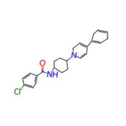 O=C(NC1CCC(N2C=CC(C3=CCC=CC3)=CC2)CC1)c1ccc(Cl)cc1